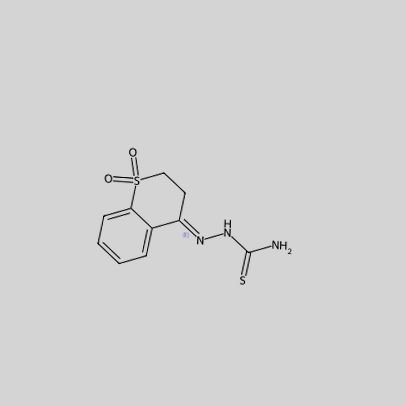 NC(=S)N/N=C1\CCS(=O)(=O)c2ccccc21